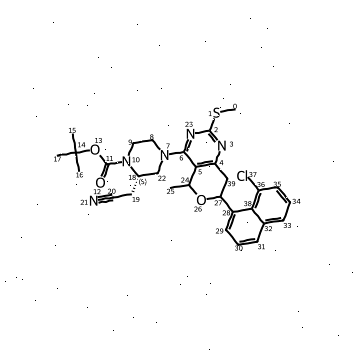 CSc1nc2c(c(N3CCN(C(=O)OC(C)(C)C)[C@@H](CC#N)C3)n1)C(C)OC(c1cccc3cccc(Cl)c13)C2